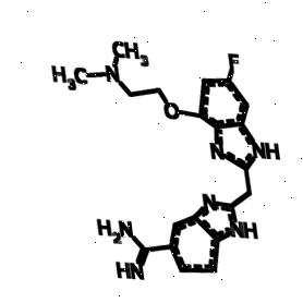 CN(C)CCOc1cc(F)cc2[nH]c(Cc3nc4cc(C(=N)N)ccc4[nH]3)nc12